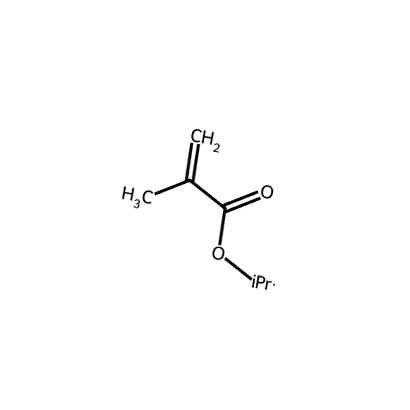 C=C(C)C(=O)O[C](C)C